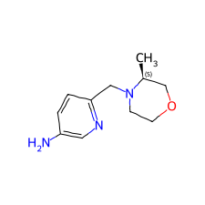 C[C@H]1COCCN1Cc1ccc(N)cn1